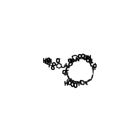 COC1CC(C[C@@H](C)[C@@H]2CC(=O)[C@H](C)C=C(C)[C@@H](O)[C@@H](OC)C(=O)[C@H](C)C[C@H](C)C=CC=CC=C(C)[C@@H](OC)C[C@@H]3CC[C@@H](C)[C@@](O)(O3)C(=O)C(=O)N3CCCC[C@H]3C(=O)O2)CCC1OC(=O)C(C)(CO)CO